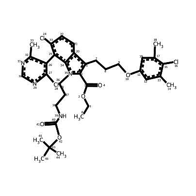 CCOC(=O)c1c(CCCOc2cc(C)c(Cl)c(C)c2)c2ccc(Cl)c(-c3c(C)ncnc3C)c2n1CCCNC(=O)OC(C)(C)C